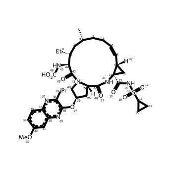 CC[C@@H]1C[C@H](C)CCC=C[C@@H]2C[C@@]2(C(=O)NS(=O)(=O)C2CC2)NC(=O)[C@@H]2C[C@@H](Oc3nc4cc(OC)ccc4nc3C(C)C)CN2C(=O)[C@H]1NC(=O)O